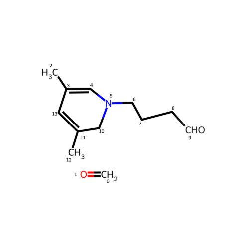 C=O.CC1=CN(CCCC=O)CC(C)=C1